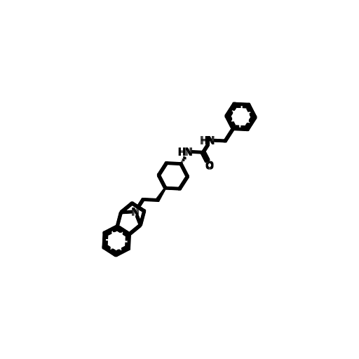 O=C(NCc1ccccc1)N[C@H]1CC[C@H](CCN2C3CCC2c2ccccc23)CC1